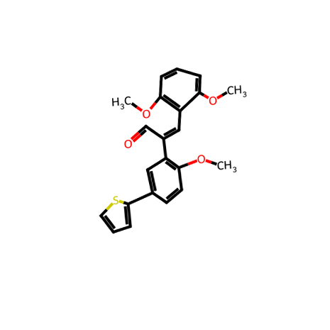 COc1ccc(-c2cccs2)cc1C(C=O)=Cc1c(OC)cccc1OC